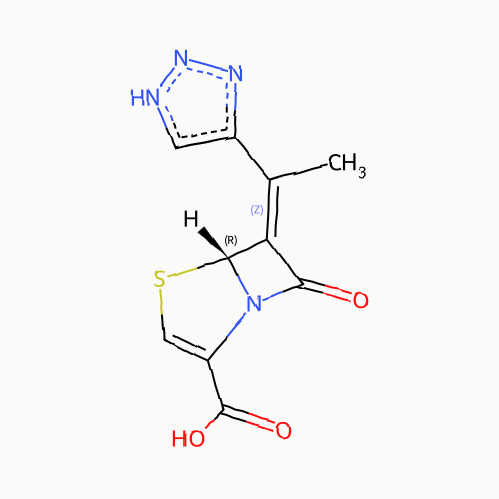 C/C(=C1\C(=O)N2C(C(=O)O)=CS[C@H]12)c1c[nH]nn1